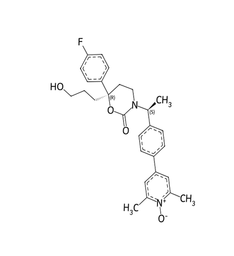 Cc1cc(-c2ccc([C@H](C)N3CC[C@](CCCO)(c4ccc(F)cc4)OC3=O)cc2)cc(C)[n+]1[O-]